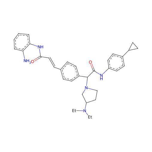 CCN(CC)C1CCN(C(C(=O)Nc2ccc(C3CC3)cc2)c2ccc(C=CC(=O)Nc3ccccc3N)cc2)C1